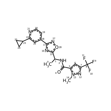 CC(NC(=O)c1cc(C(F)(F)F)nn1C)c1nc(-c2ccnc(C3CC3)c2)no1